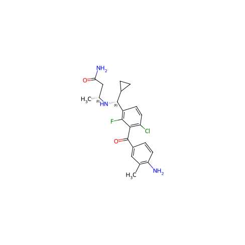 Cc1cc(C(=O)c2c(Cl)ccc([C@H](N[C@H](C)CC(N)=O)C3CC3)c2F)ccc1N